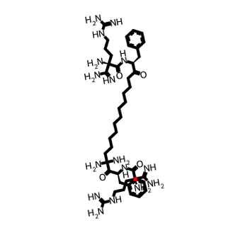 N=C(N)NCCC[C@@](N)(C(=N)N)C(=O)N[C@@H](Cc1ccccc1)C(=O)CCCCCCCCCCCC(N)(N)C(=O)[C@H](Cc1ccccc1)NC(=O)[C@@](N)(CCCNC(=N)N)C(=N)N